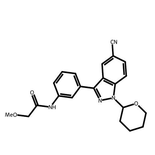 COCC(=O)Nc1cccc(-c2nn(C3CCCCO3)c3ccc(C#N)cc23)c1